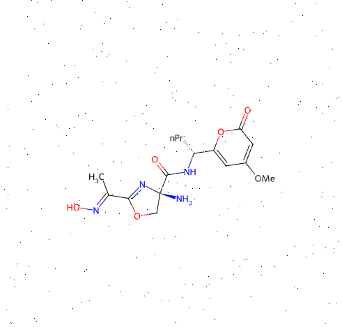 CCC[C@@H](NC(=O)[C@]1(N)COC(/C(C)=N/O)=N1)c1cc(OC)cc(=O)o1